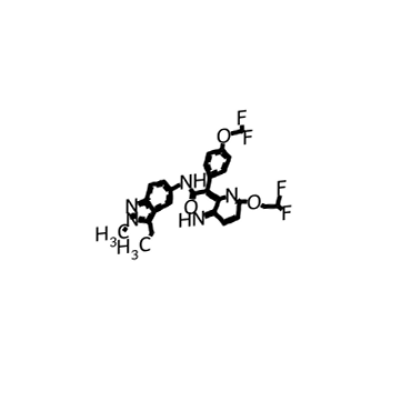 CCc1c2cc(NC(=O)/C(=C3/N=C(OCC(F)F)C=CC3=N)c3ccc(OC(F)F)cc3)ccc2nn1C